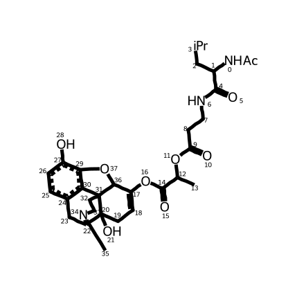 CC(=O)NC(CC(C)C)C(=O)NCCC(=O)OC(C)C(=O)OC1=CCC2(O)C3Cc4ccc(O)c5c4C2(CCN3C)C1O5